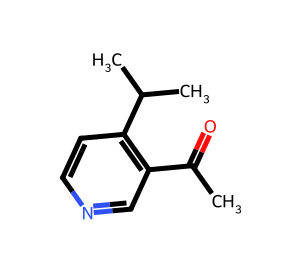 CC(=O)c1cnccc1C(C)C